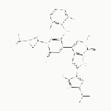 Cc1cccc(C)c1Oc1cn(C2CN(C(=O)O)C2)c(=O)cc1-c1cn(C)c(=O)c2[nH]c(-c3cn(C(C)C)nc3C)cc12